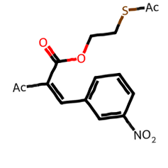 CC(=O)SCCOC(=O)C(=Cc1cccc([N+](=O)[O-])c1)C(C)=O